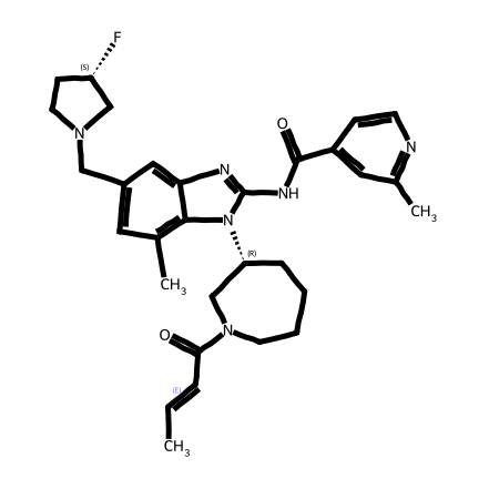 C/C=C/C(=O)N1CCCC[C@@H](n2c(NC(=O)c3ccnc(C)c3)nc3cc(CN4CC[C@H](F)C4)cc(C)c32)C1